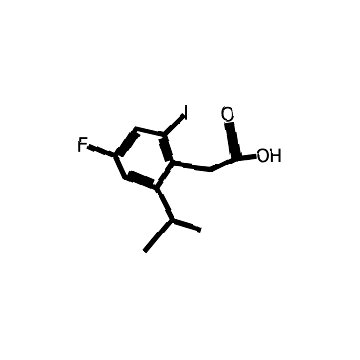 CC(C)c1cc(F)cc(I)c1CC(=O)O